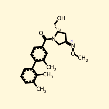 CO/N=C1/C[C@@H](CO)N(C(=O)c2ccc(-c3cccc(C)c3C)c(C)c2)C1